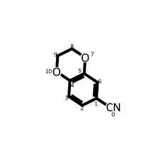 N#Cc1ccc2c(c1)OCCO2